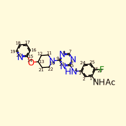 CC(=O)Nc1cc(Nc2ncnc(N3CCC(Oc4ccccn4)CC3)n2)ccc1F